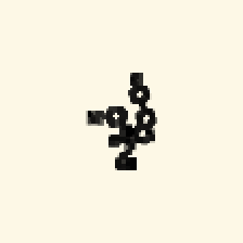 N#Cc1cccc(-n2c(=O)n(CCO)c3cnc4ccc(-c5ccc(Cl)cc5)cc4c32)c1